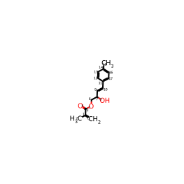 C=C(C)C(=O)OCC(O)C=Cc1ccc(C)cc1